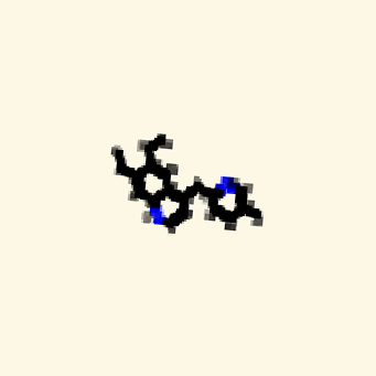 CCc1cc2nccc(Cc3ccc(C)cn3)c2cc1CC